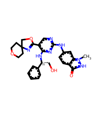 Cn1[nH]c(=O)c2ccc(Nc3ncc(C4=NC5(CCOCC5)CO4)c(N[C@H](CO)c4ccccc4)n3)cc21